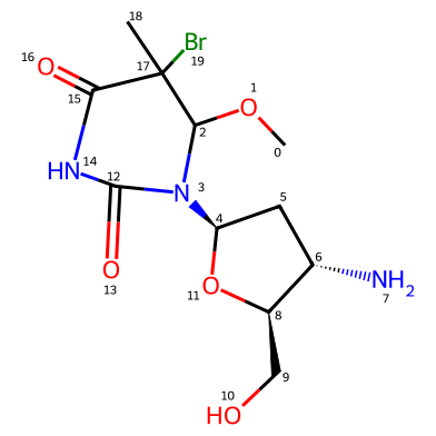 COC1N([C@H]2C[C@H](N)[C@@H](CO)O2)C(=O)NC(=O)C1(C)Br